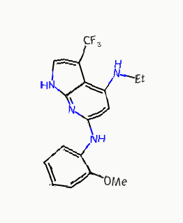 CCNc1cc(Nc2cc[c]cc2OC)nc2[nH]cc(C(F)(F)F)c12